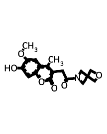 COc1cc2c(C)c(CC(=O)N3CC4(COC4)C3)c(=O)oc2cc1O